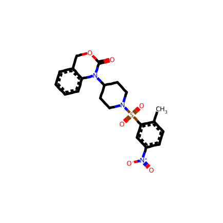 Cc1ccc([N+](=O)[O-])cc1S(=O)(=O)N1CCC(N2C(=O)OCc3ccccc32)CC1